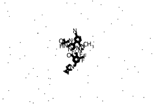 Cn1cnnc1-c1ccc(C#N)cc1-c1cc(NC2(C#N)COC2)nc(N2Cc3c(cc(CN4CCC5(CC5)C4)cc3C(F)(F)F)C2=O)c1